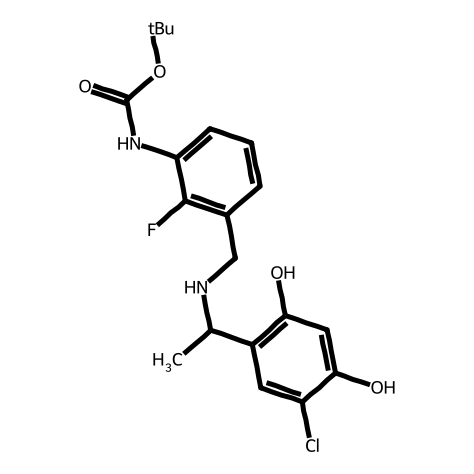 CC(NCc1cccc(NC(=O)OC(C)(C)C)c1F)c1cc(Cl)c(O)cc1O